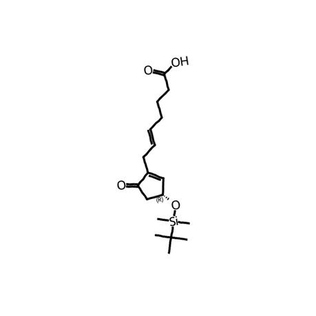 CC(C)(C)[Si](C)(C)O[C@H]1C=C(CC=CCCCC(=O)O)C(=O)C1